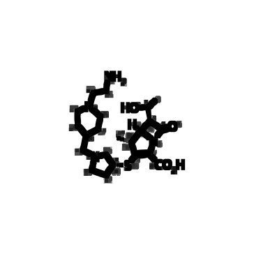 CC(O)[C@H]1C(=O)N2C(C(=O)O)=C(S[C@@H]3CCN(CC4CCN(CCN)CC4)C3)[C@H](C)[C@H]12